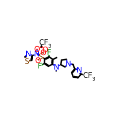 Cc1c(N(C)[C@H]2CCN(Cc3cccc(C(F)(F)F)n3)C2)cc(F)c(S(=O)(=O)N(OC(=O)C(F)(F)F)c2cscn2)c1F